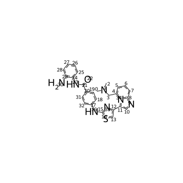 CN(C)Cc1cccc2ncc(-c3csc(Nc4ccc(C(=O)Nc5ccccc5N)cc4)n3)n12